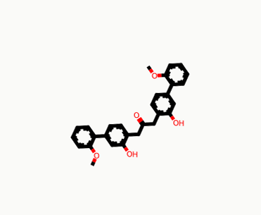 COc1ccccc1-c1ccc(CC(=O)Cc2ccc(-c3ccccc3OC)cc2O)c(O)c1